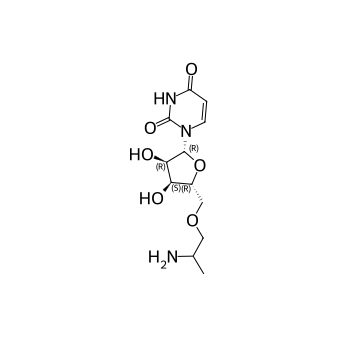 CC(N)COC[C@H]1O[C@@H](n2ccc(=O)[nH]c2=O)[C@H](O)[C@@H]1O